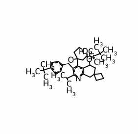 CC(C)c1nc2c(c3c1[C@@H](c1ccc(C(C)(C)C)cc1)OC31CCOCC1)C(O[Si](C)(C)C(C)(C)C)CC1(CCC1)C2